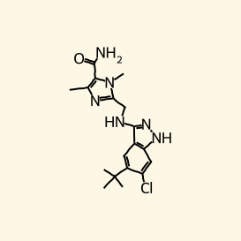 Cc1nc(CNc2n[nH]c3cc(Cl)c(C(C)(C)C)cc23)n(C)c1C(N)=O